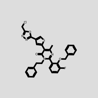 Cc1nc(-c2cccc(F)c2OCc2ccccc2)n(CCc2ccccc2)c(=O)c1-c1cc(-c2nnc(CCl)o2)cs1